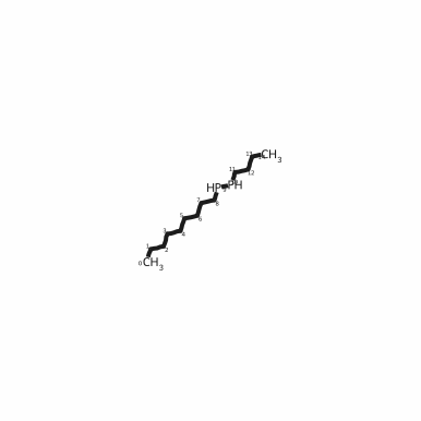 CCCCCCCCCPPCCCC